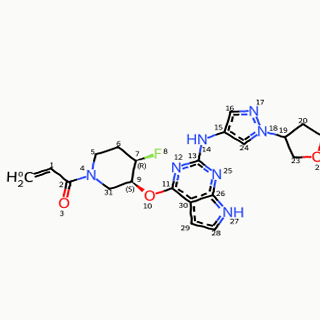 C=CC(=O)N1CC[C@@H](F)[C@@H](Oc2nc(Nc3cnn(C4CCOC4)c3)nc3[nH]ccc23)C1